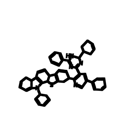 C1=CCC2C(=C1)N(C1C=CC=CC1)C1=C2C=CC2C3=C(CC(c4ncc(-c5ccccc5)cc4C4=NC(C5CC=CCC5)NC(c5ccccc5)=N4)C=C3)SC12